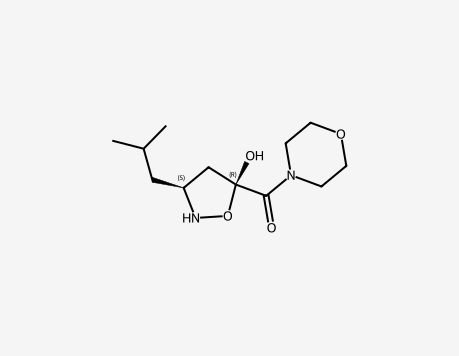 CC(C)C[C@H]1C[C@](O)(C(=O)N2CCOCC2)ON1